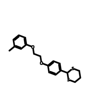 Cc1cccc(OCCOc2ccc(C3SCCCS3)cc2)c1